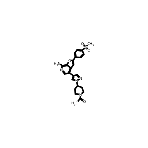 CC(=O)N1CCC(n2cc(-c3cnc(N)c4oc(-c5ccc(S(C)(=O)=O)cc5)cc34)cn2)CC1